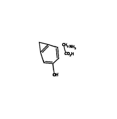 CC(=O)O.N.Oc1ccc2c(c1)C2